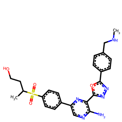 CNCc1ccc(-c2nnc(-c3nc(-c4ccc(S(=O)(=O)C(C)CCO)cc4)cnc3N)o2)cc1